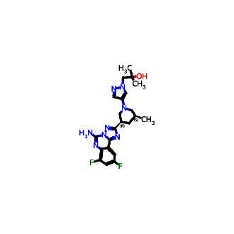 C[C@H]1C[C@@H](c2nc3c4cc(F)cc(F)c4nc(N)n3n2)CN(c2cnn(CC(C)(C)O)c2)C1